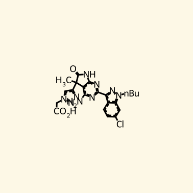 CCCCn1nc(-c2nc(N)c3c(n2)NC(=O)C3(C)c2cn(CC(=O)O)nn2)c2ccc(Cl)cc21